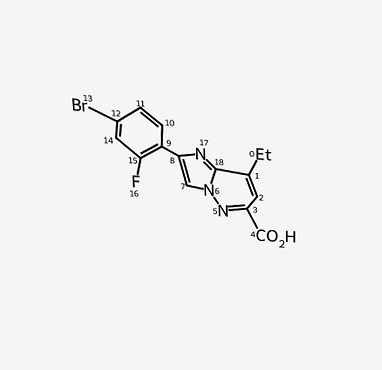 CCc1cc(C(=O)O)nn2cc(-c3ccc(Br)cc3F)nc12